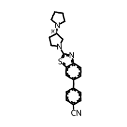 N#Cc1ccc(-c2ccc3nc(N4CC[C@@H](N5CCCC5)C4)sc3c2)cc1